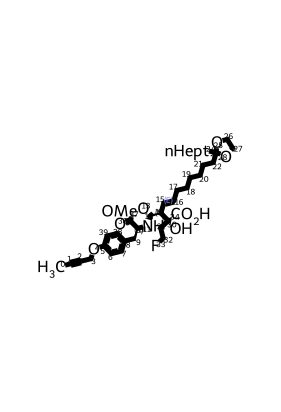 CC#CCOc1ccc(C[C@H](NC(=O)[C@@H](/C=C/CCCCCCC2(CCCCCCC)OCCO2)[C@@](O)(CCF)C(=O)O)C(=O)OC)cc1